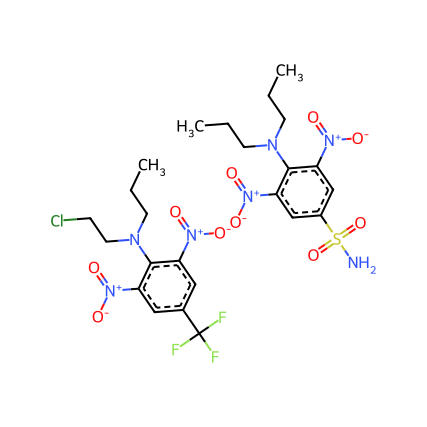 CCCN(CCC)c1c([N+](=O)[O-])cc(S(N)(=O)=O)cc1[N+](=O)[O-].CCCN(CCCl)c1c([N+](=O)[O-])cc(C(F)(F)F)cc1[N+](=O)[O-]